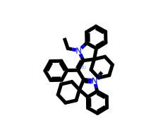 CCN1/C(=C(/C2=[N+](C)c3ccccc3C23CCCCC3)c2ccccc2)C2(CCCCC2)c2ccccc21